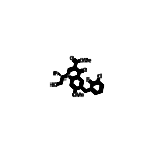 COC(=O)c1cn([C@H](CO)C(C)C)c2cc(OC)c(Cc3cccc(Cl)c3F)cc2c1=O